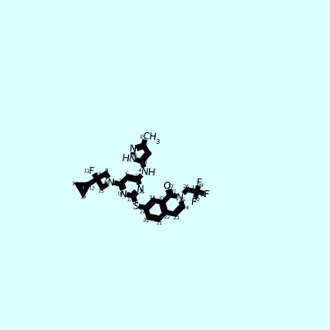 Cc1cc(Nc2cc(N3CC(F)(C4CC4)C3)nc(Sc3ccc4ccn(CC(F)(F)F)c(=O)c4c3)n2)[nH]n1